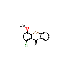 C=C1c2ccccc2Sc2c(OCCC)ccc(Cl)c21